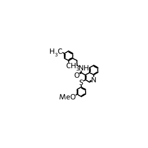 COc1cccc(Sc2cnc3ccccc3c2C(=O)NCCc2ccc(C)cc2C)c1